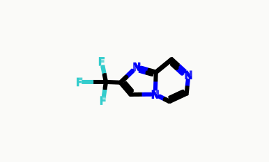 FC(F)(F)c1cn2ccncc2n1